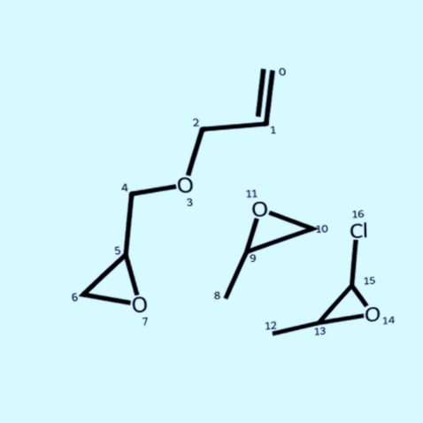 C=CCOCC1CO1.CC1CO1.CC1OC1Cl